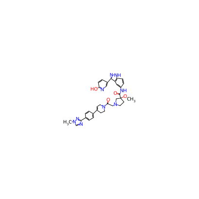 COC1(C(=O)Nc2ccc3[nH]nc(-c4ccc(O)nc4)c3c2)CCN(CC(=O)N2CC=C(c3ccc(-c4ncn(C)n4)cc3)CC2)C1